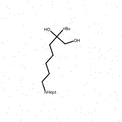 CCCCCCCCCCCCC(O)(CO)CCCC